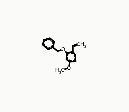 C=Cc1ccc(OC)cc1OCc1ccccc1